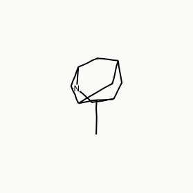 CC1C2C[N]C3CC(C2)CC1C3